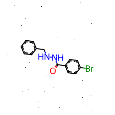 O=C(NNCc1ccccc1)c1ccc(Br)cc1